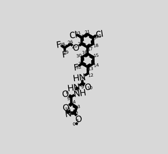 COc1cc(C(=O)NNC(=O)NCc2ccc(-c3cc(Cl)cc(Cl)c3OCC(F)F)cc2F)on1